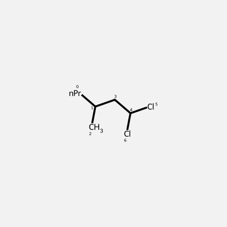 CCCC(C)CC(Cl)Cl